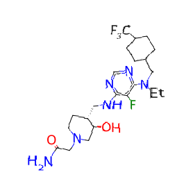 CCN(CC1CCC(C(F)(F)F)CC1)c1ncnc(NC[C@H]2CCN(CC(N)=O)C[C@@H]2O)c1F